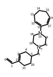 C=CC1=CCC(CN2CCN(C3=CCCCC=C3)CC2)CC1